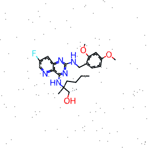 CCCCC(C)(Nc1nc(NCc2ccc(OC)cc2OC)nc2cc(F)cnc12)[C@H](C)O